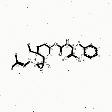 CC[C@@]1(C)CC[C@@H](OC(=O)N[C@H](Cc2ccccc2)C(N)=O)C[C@@H]1[C@@]1(C)O[C@@H]1CC=C(C)C